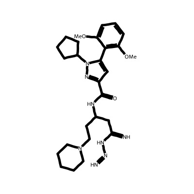 COc1cccc(OC)c1-c1cc(C(=O)NC(CCN2CCCCC2)CC(=N)NN=N)nn1C1CCCC1